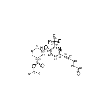 CC(C)OC(=O)[C@H]1CCC[C@H](Oc2ccc(C#CCCC=O)nc2C(F)(F)F)C1